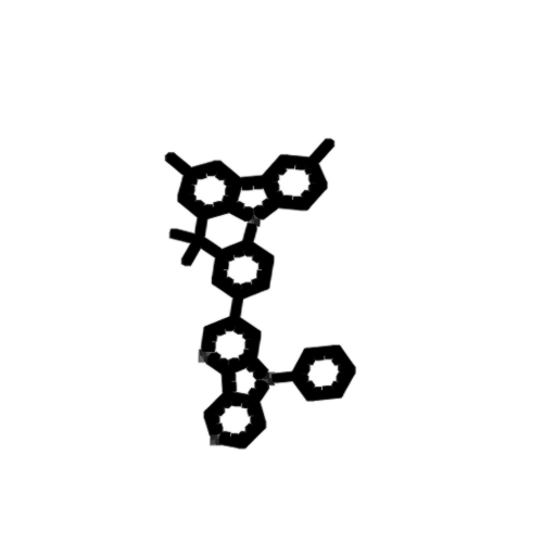 Cc1ccc2c(c1)c1cc(C)cc3c1n2-c1ccc(-c2cnc4c5cnccc5n(-c5ccccc5)c4c2)cc1C3(C)C